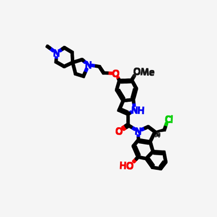 COc1cc2[nH]c(C(=O)N3C[C@@H](CCl)c4c3cc(O)c3ccccc43)cc2cc1OCCN1CCC2(CCN(C)CC2)C1